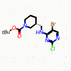 CC(C)(C)OC(=O)N1CCC[C@H](CNc2nc(Cl)ncc2Br)C1